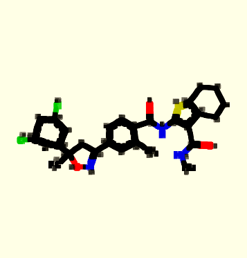 CCCCNC(=O)c1c(NC(=O)c2ccc(C3=NOC(c4cc(Cl)cc(Cl)c4)(C(F)(F)F)C3)cc2C)sc2c1CCCC2